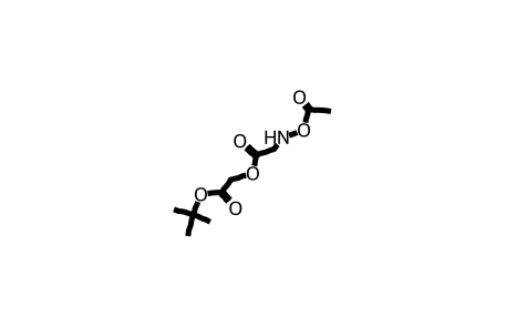 CC(=O)ONCC(=O)OCC(=O)OC(C)(C)C